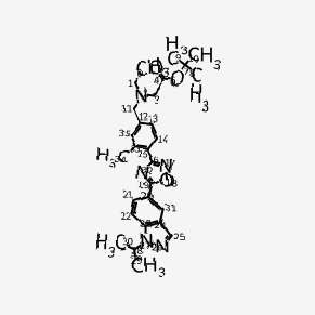 CCN(CC(=O)OC(C)(C)C)Cc1ccc(-c2noc(-c3ccc4c(cnn4C(C)C)c3)n2)c(C)c1